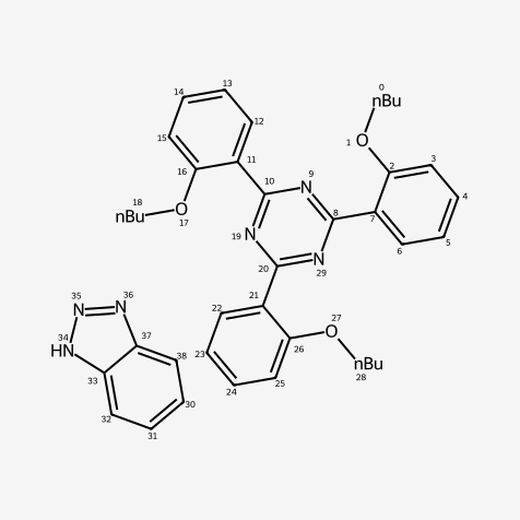 CCCCOc1ccccc1-c1nc(-c2ccccc2OCCCC)nc(-c2ccccc2OCCCC)n1.c1ccc2[nH]nnc2c1